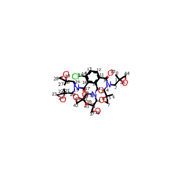 CC1(CN(CC2(C)CO2)C(=O)c2ccc(Cl)c(C(=O)N(CC3(C)CO3)CC3(C)CO3)c2C(=O)N(CC2(C)CO2)CC2(C)CO2)CO1